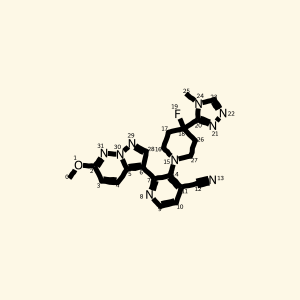 COc1ccc2c(-c3nccc(C#N)c3N3CCC(F)(c4nncn4C)CC3)cnn2n1